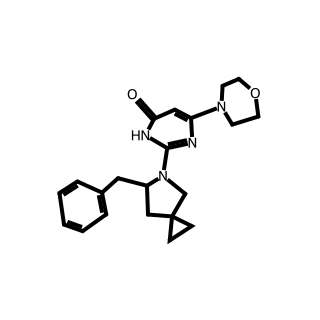 O=c1cc(N2CCOCC2)nc(N2CC3(CC3)CC2Cc2ccccc2)[nH]1